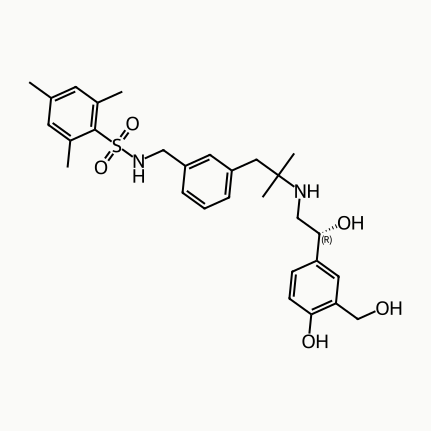 Cc1cc(C)c(S(=O)(=O)NCc2cccc(CC(C)(C)NC[C@H](O)c3ccc(O)c(CO)c3)c2)c(C)c1